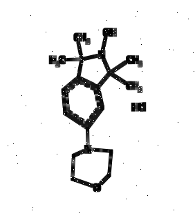 CC1(C)c2ccc(N3CCOCC3)cc2C(C)(C)N1O.Cl